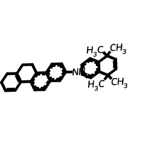 CC1(C)C=CC(C)(C)c2ccccc21.Nc1ccc2c3c(ccc2c1)C1=C(CCC=C1)CC3